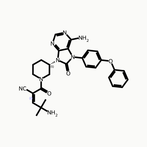 CC(C)(N)/C=C(/C#N)C(=O)N1CCC[C@H](n2c(=O)n(-c3ccc(Oc4ccccc4)cc3)c3c(N)ncnc32)C1